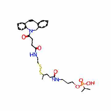 CC(CCC(=O)NCCCOP(=O)(O)C(C)C)SSCCNC(=O)CCC(=O)N1Cc2ccccc2C#Cc2ccccc21